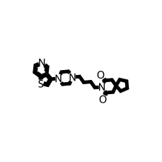 O=C1CC2(CCCC2)CC(=O)N1CCCCN1CCN(c2csc3ccncc23)CC1